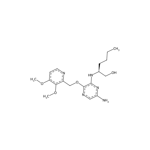 CCCC[C@@H](CO)Nc1nc(N)cnc1OCc1nccc(OC)c1OC